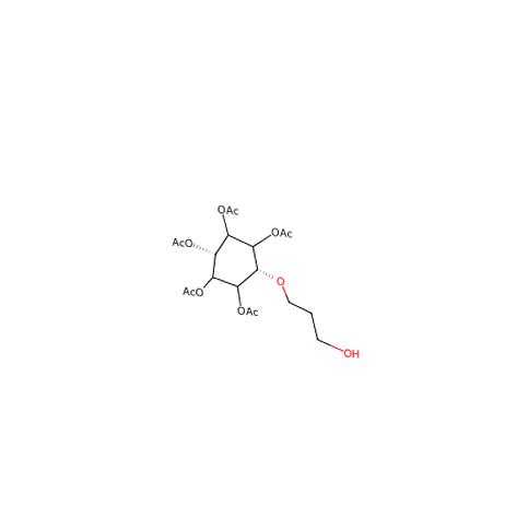 CC(=O)OC1C(OC(C)=O)[C@H](OC(C)=O)C(OC(C)=O)C(OC(C)=O)[C@@H]1OCCCO